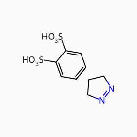 C1CN=NC1.O=S(=O)(O)c1ccccc1S(=O)(=O)O